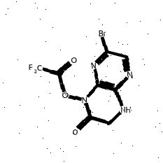 O=C1CNc2ncc(Br)nc2N1OC(=O)C(F)(F)F